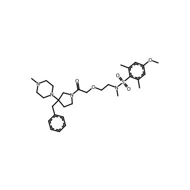 COc1cc(C)c(S(=O)(=O)N(C)CCOCC(=O)N2CCC(Cc3ccccc3)(N3CCN(C)CC3)C2)c(C)c1